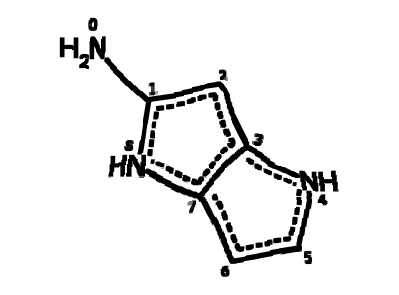 Nc1cc2[nH]ccc2[nH]1